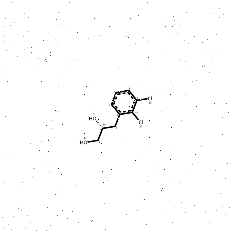 OC[C@H](O)Cc1cccc(Cl)c1Cl